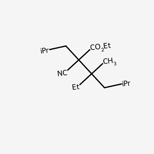 CCOC(=O)C(C#N)(CC(C)C)C(C)(CC)CC(C)C